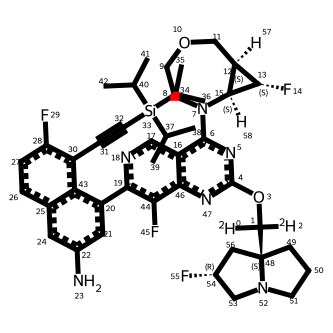 [2H]C([2H])(Oc1nc(N2CCOC[C@H]3[C@H](F)[C@H]32)c2cnc(-c3cc(N)cc4ccc(F)c(C#C[Si](C(C)C)(C(C)C)C(C)C)c34)c(F)c2n1)[C@@]12CCCN1C[C@H](F)C2